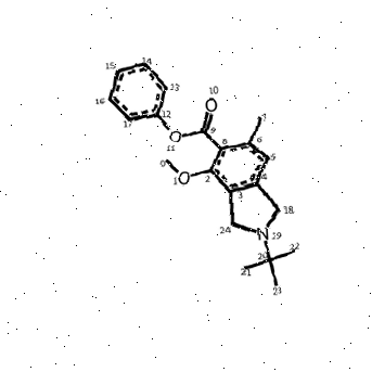 COc1c2c(cc(C)c1C(=O)Oc1ccccc1)CN(C(C)(C)C)C2